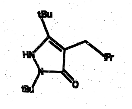 CC(C)Cc1c(C(C)(C)C)[nH]n(C(C)(C)C)c1=O